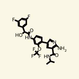 CC(C)NC(=O)c1cc(-c2ccc(NC(=O)C(O)c3cc(F)cc(F)c3)cc2OC(F)(F)F)cnc1N